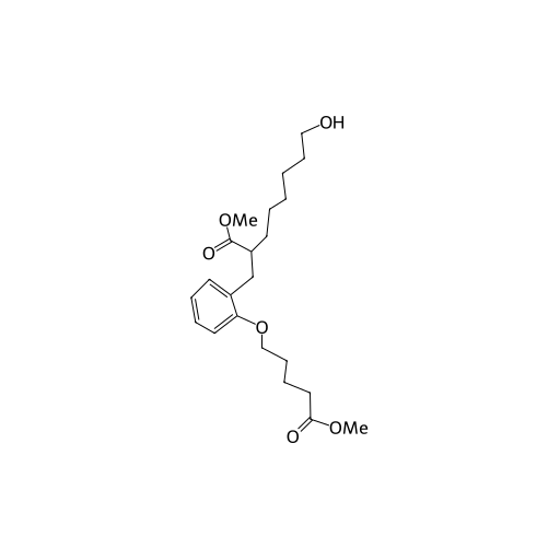 COC(=O)CCCCOc1ccccc1CC(CCCCCCO)C(=O)OC